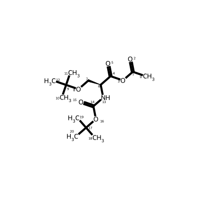 CC(=O)OC(=O)[C@H](COC(C)(C)C)NC(=O)OC(C)(C)C